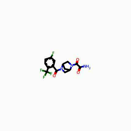 NC(=O)C(=O)N1CC2CC1CN2C(=O)c1cc(F)ccc1C(F)(F)F